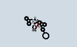 CN(C(=O)OCC1c2ccccc2-c2ccccc21)[C@@H](CC(=O)OC(c1ccccc1)(c1ccc(C2CCCCCCCCC2)cc1)c1ccccc1Cl)C(=O)N1CCS(=O)(=O)CC1